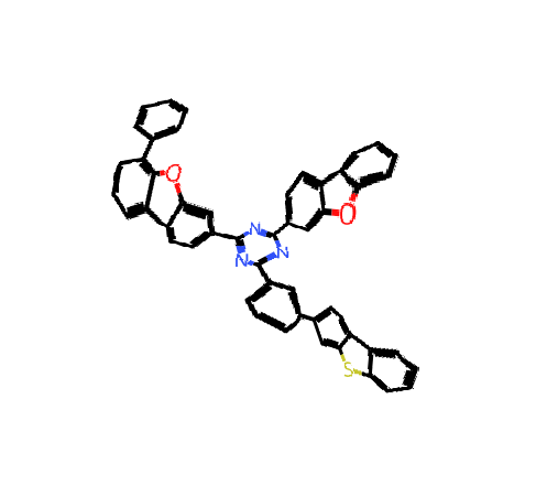 c1ccc(-c2cccc3c2oc2cc(-c4nc(-c5cccc(-c6ccc7c(c6)sc6ccccc67)c5)nc(-c5ccc6c(c5)oc5ccccc56)n4)ccc23)cc1